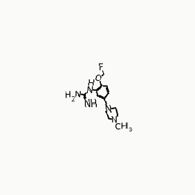 CN1CCN(c2ccc(OCF)c(NC(=N)N)c2)CC1